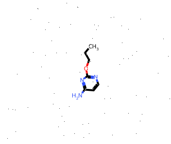 CCCOc1nccc(N)n1